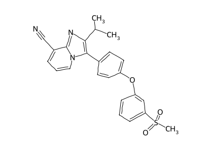 CC(C)c1nc2c(C#N)cccn2c1-c1ccc(Oc2cccc(S(C)(=O)=O)c2)cc1